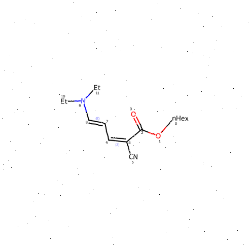 CCCCCCOC(=O)/C(C#N)=C\C=C\N(CC)CC